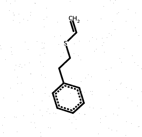 C=CSCCc1ccccc1